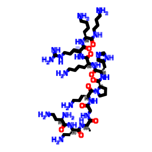 C[C@H](NC(=O)[C@H](CCN)NC(=O)[C@@H](N)CCN)C(=O)NCC(=O)N[C@H](CCCN)C(=O)N1CCC[C@H]1C(=O)N[C@@H](Cc1cnc[nH]1)C(=O)N[C@@H](CCCCN)C(=O)N/C(=C\CCNC(=N)N)C(=O)N[C@@H](CCCCN)C(=O)NCCCCN